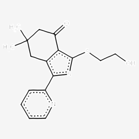 CC1(C)CC(=O)c2c(SCCO)sc(-c3ccccn3)c2C1